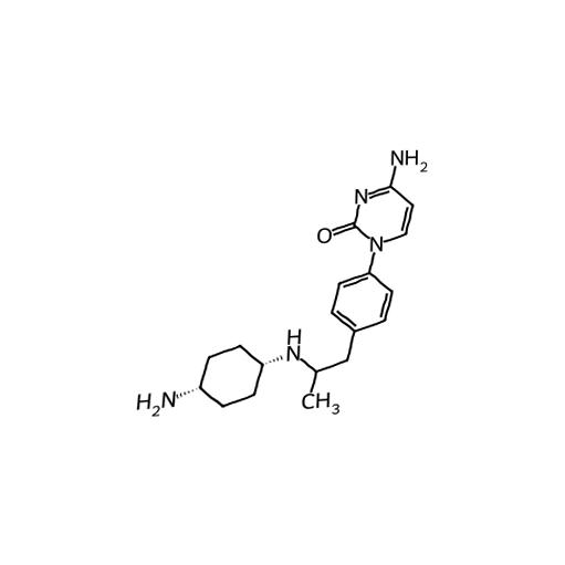 CC(Cc1ccc(-n2ccc(N)nc2=O)cc1)N[C@H]1CC[C@@H](N)CC1